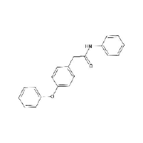 O=C(Cc1ccc(Oc2ccccc2)cc1)Nc1ccccc1